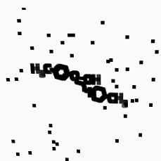 Cc1ccc(OCC(O)CN2CCC(C)CC2)cc1